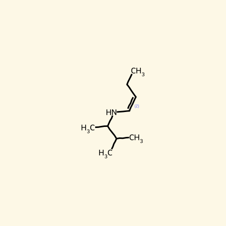 CC/C=C\NC(C)C(C)C